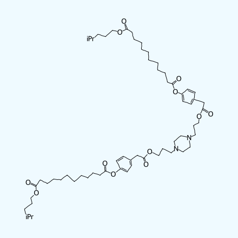 CC(C)CCCOC(=O)CCCCCCCCCCC(=O)Oc1ccc(CC(=O)OCCCN2CCN(CCCOC(=O)Cc3ccc(OC(=O)CCCCCCCCCCC(=O)OCCCC(C)C)cc3)CC2)cc1